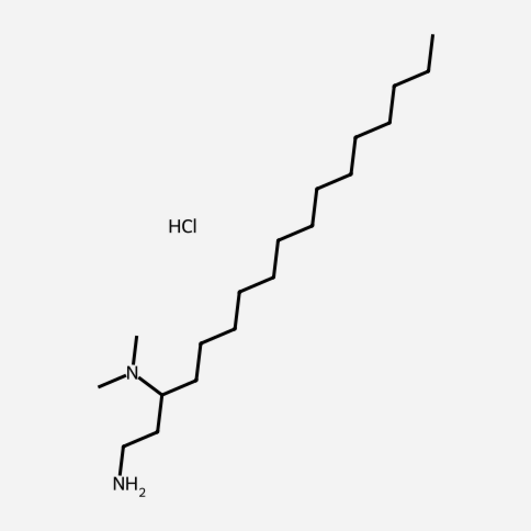 CCCCCCCCCCCCCCC(CCN)N(C)C.Cl